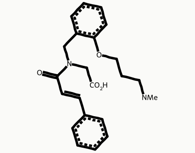 CNCCCOc1ccccc1CN(CC(=O)O)C(=O)/C=C/c1ccccc1